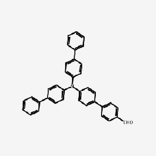 O=Cc1ccc(-c2ccc(N(c3ccc(-c4ccccc4)cc3)c3ccc(-c4ccccc4)cc3)cc2)cc1